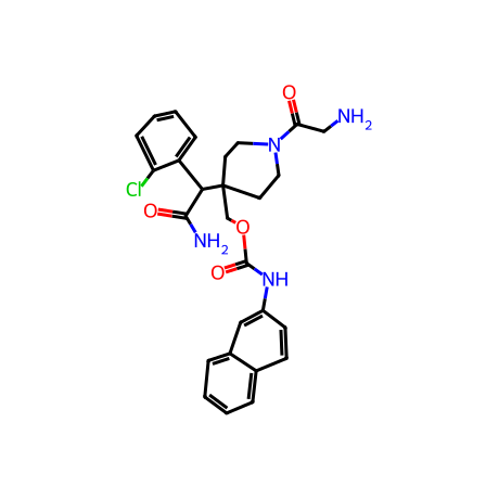 NCC(=O)N1CCC(COC(=O)Nc2ccc3ccccc3c2)(C(C(N)=O)c2ccccc2Cl)CC1